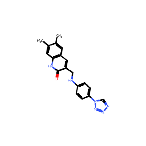 Cc1cc2cc(CNc3ccc(-n4cnnn4)cc3)c(=O)[nH]c2cc1C